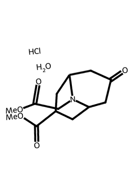 COC(=O)CN1C2CC(=O)CC1CC(C(=O)OC)C2.Cl.O